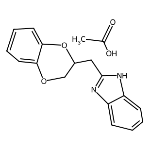 CC(=O)O.c1ccc2c(c1)OCC(Cc1nc3ccccc3[nH]1)O2